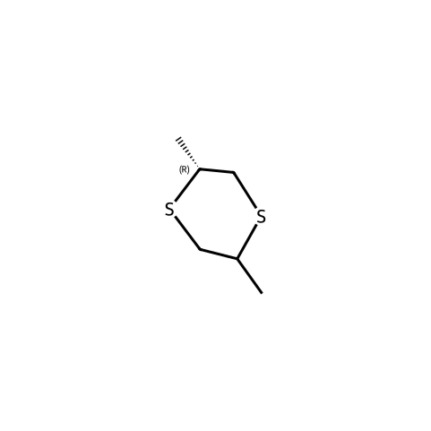 CC1CS[C@H](C)CS1